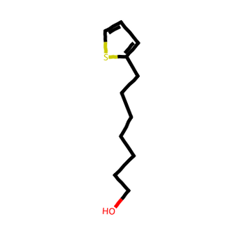 OCCCCCCCc1cccs1